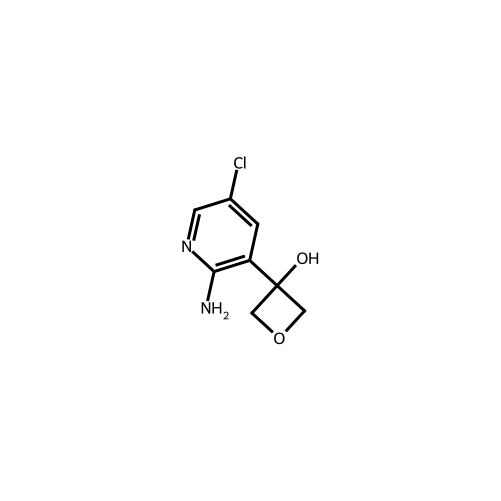 Nc1ncc(Cl)cc1C1(O)COC1